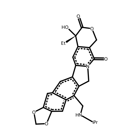 CC[C@@]1(O)C(=O)OCc2c1cc1n(c2=O)Cc2c-1cc1cc3c(cc1c2CNC(C)C)OCO3